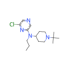 CCCN(c1cncc(Cl)n1)C1CCN(C(C)(C)C)CC1